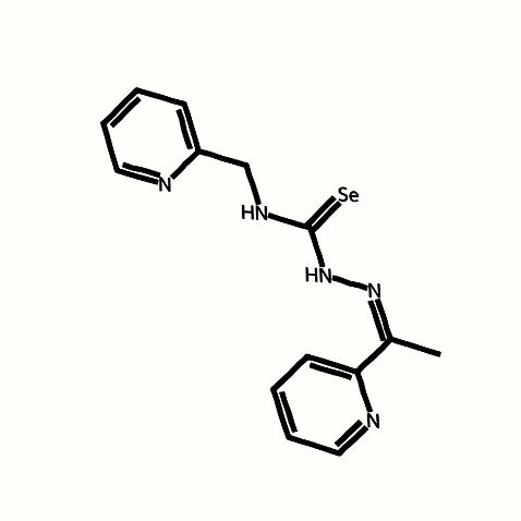 CC(=NNC(=[Se])NCc1ccccn1)c1ccccn1